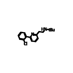 CC(C)(C)NCCc1cccc(-c2ccccc2Cl)n1